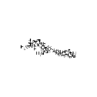 Cc1cc(Nc2nc(Nc3ccc(C(N)=O)c(N4CCC(CCN5CCN(c6ccc(C7CCC(=O)NC7=O)cc6)CC5)CC4)c3)ncc2F)n[nH]1